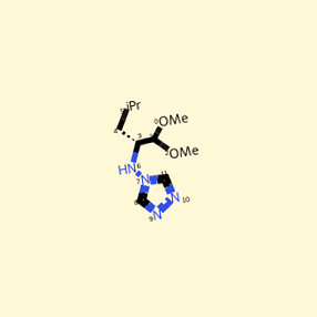 COC(OC)[C@@H](CC(C)C)Nn1cnnc1